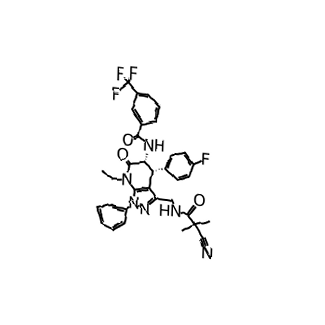 CCN1C(=O)[C@H](NC(=O)c2cccc(C(F)(F)F)c2)[C@H](c2ccc(F)cc2)c2c(CNC(=O)C(C)(C)C#N)nn(-c3ccccc3)c21